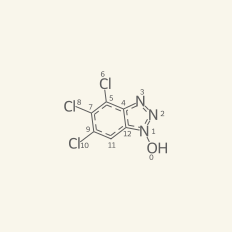 On1nnc2c(Cl)c(Cl)c(Cl)cc21